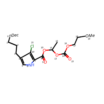 CCCCCCCCCCCCCc1c[nH]c(C(=O)OC(C)OC(=O)OCCOC)c1Cl